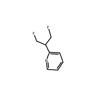 FCC(CF)c1ccccn1